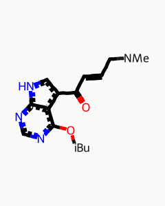 CCC(C)Oc1ncnc2[nH]cc(C(=O)C=CCNC)c12